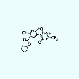 O=C(OC1CCCC1)c1cc(-n2c(=O)cc(C(F)(F)F)[nH]c2=O)c(F)cc1Cl